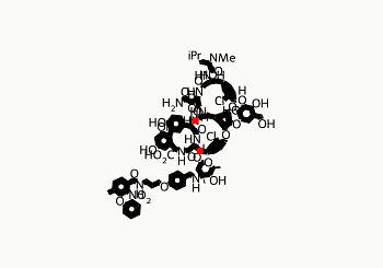 CNC(CC(C)C)C(=O)NC1C(=O)N[C@@H](CC(N)=O)C(=O)N[C@H]2C(=O)N[C@H]3C(=O)N[C@H](C(=O)N[C@@H](C(=O)O)c4cc(O)cc(O)c4-c4cc3ccc4O)C(OC3C[C@](C)(NCc4ccc(OCCCNC(=O)c5ccc(C)c(Oc6ccccc6)c5[N+](=O)[O-])cc4)C(O)[C@H](C)O3)c3ccc(c(Cl)c3)Oc3cc2cc(c3OC2CC(CO)[C@@H](O)C(O)[C@H]2O)Oc2ccc(cc2Cl)[C@H]1O